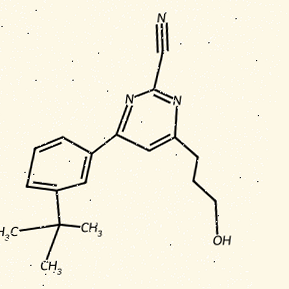 CC(C)(C)c1cccc(-c2cc(CCCO)nc(C#N)n2)c1